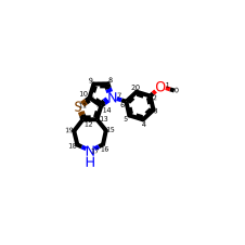 COc1cccc(-n2ccc3sc4c(c32)CCNCC4)c1